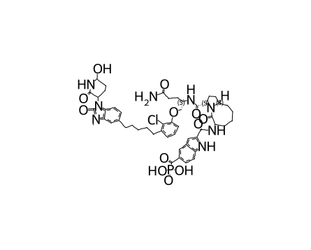 Cn1c(=O)n(C2CCC(O)NC2=O)c2ccc(CCCCCc3cccc(OC[C@H](CCC(N)=O)NC(=O)[C@@H]4CC[C@@H]5CCCCC(NC(=O)c6cc7cc(C(=O)P(=O)(O)O)ccc7[nH]6)C(=O)N54)c3Cl)cc21